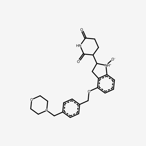 O=C1CCC(C2Cc3c(OCc4ccc(CN5CCOCC5)cc4)cccc3[NH+]2[O-])C(=O)N1